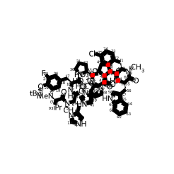 CN[C@H](C(=O)N(C)[C@@H](Cc1c[nH]cn1)C(=O)N[C@@H](Cc1ccc(OC(C)(C)C)c(F)c1)C(=O)N1CCC[C@H]1C(=O)N(C)[C@@H](Cc1c[nH]cn1)C(=O)N1CCC[C@H]1C(=O)N[C@@H](Cc1c[nH]c2ccccc12)C(=O)N(C)[C@@H](Cc1ccc(Cl)cc1)C(=O)N[C@@H](CC(=O)O)C(=O)N1CCC[C@H]1C(=O)O)C(C)C